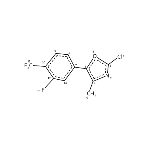 Cc1nc(Cl)oc1-c1ccc(C(F)(F)F)c(F)c1